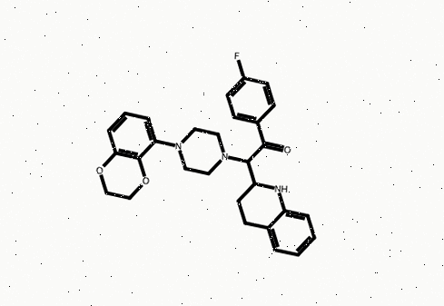 O=C(c1ccc(F)cc1)C(C1CCc2ccccc2N1)N1CCN(c2cccc3c2OCCO3)CC1